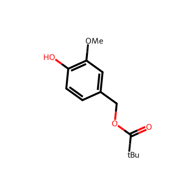 COc1cc(COC(=O)C(C)(C)C)ccc1O